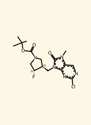 Cn1c(=O)n(C[C@@H]2CN(C(=O)OC(C)(C)C)C[C@H]2F)c2nc(Cl)ncc21